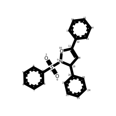 O=S(=O)(c1ccccc1)N1OC(c2ccccc2)=CC1c1ccccc1